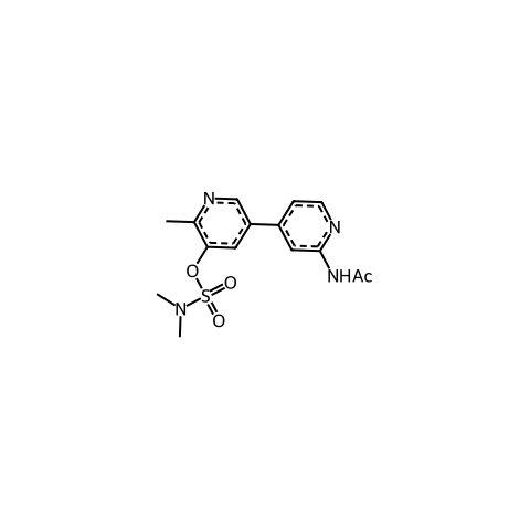 CC(=O)Nc1cc(-c2cnc(C)c(OS(=O)(=O)N(C)C)c2)ccn1